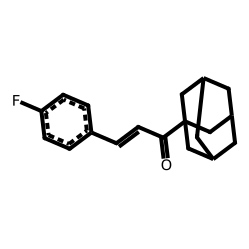 O=C(C=Cc1ccc(F)cc1)C12CC3CC(CC(C3)C1)C2